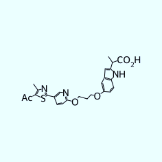 CC(=O)c1sc(-c2ccc(OCCCOc3ccc4[nH]c(C(C)C(=O)O)cc4c3)nc2)nc1C